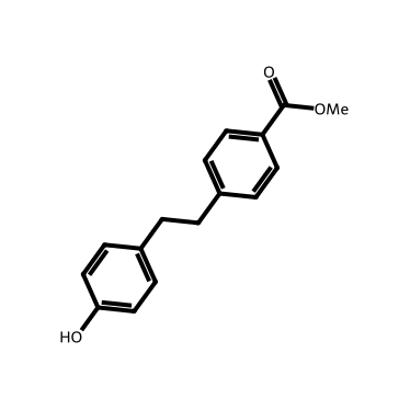 COC(=O)c1ccc(CCc2ccc(O)cc2)cc1